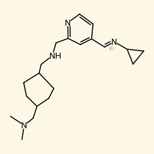 CN(C)CC1CCC(CNCc2cc(/C=N/C3CC3)ccn2)CC1